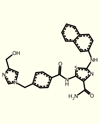 NC(=O)c1nc(Nc2ccc3ccccc3c2)sc1NC(=O)c1ccc(Cn2cnc(CO)c2)cc1